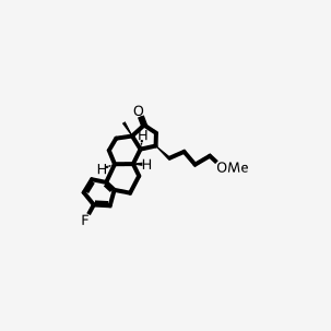 COCCCC[C@@H]1CC(=O)[C@@]2(C)CC[C@@H]3c4ccc(F)cc4CC[C@H]3[C@H]12